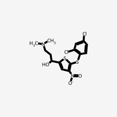 CN(C)CCC(O)c1cc([N+](=O)[O-])c(Sc2ccc(Cl)cc2Cl)s1